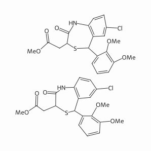 COC(=O)CC1SC(c2cccc(OC)c2OC)c2cc(Cl)ccc2NC1=O.COC(=O)CC1SC(c2cccc(OC)c2OC)c2cc(Cl)ccc2NC1=O